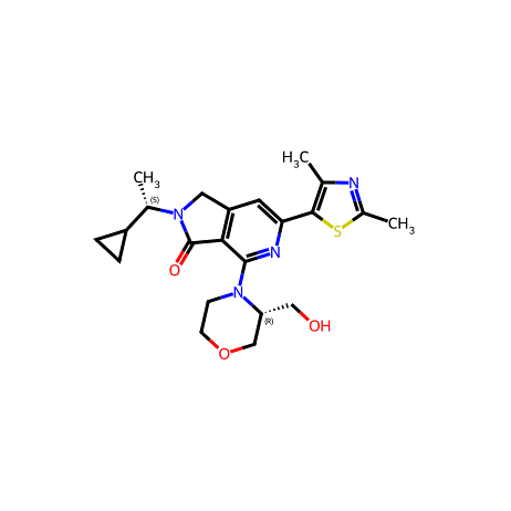 Cc1nc(C)c(-c2cc3c(c(N4CCOC[C@H]4CO)n2)C(=O)N([C@@H](C)C2CC2)C3)s1